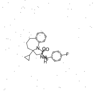 NC(=O)N1c2ccccc2CCCC1(CC(=O)Nc1ccc(F)cc1)C1CC1